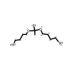 CCC(C)(OCCCCS)OCCCCS